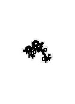 Cc1ccc(NC(=O)C2(c3ccccc3C(C)C)CN(C(=O)CCC(=O)C(F)(F)F)C2)c(OC(F)F)n1